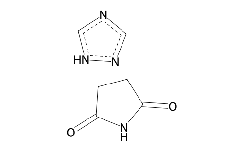 O=C1CCC(=O)N1.c1nc[nH]n1